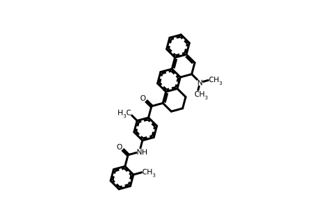 Cc1ccccc1C(=O)Nc1ccc(C(=O)C2=c3ccc4c(c3CCC2)C(N(C)C)C=c2ccccc2=4)c(C)c1